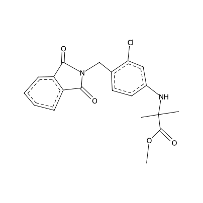 COC(=O)C(C)(C)Nc1ccc(CN2C(=O)c3ccccc3C2=O)c(Cl)c1